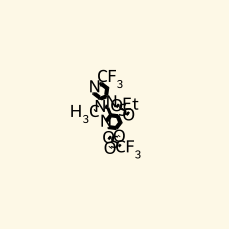 CCS(=O)(=O)c1cc(OS(=O)(=O)C(F)(F)F)cnc1-c1nc2cc(C(F)(F)F)ncc2n1C